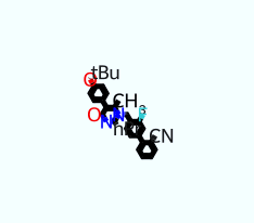 CCCc1nc(=O)c(-c2ccc(OC(C)(C)C)cc2)c(C)n1Cc1ccc(-c2ccccc2C#N)cc1F